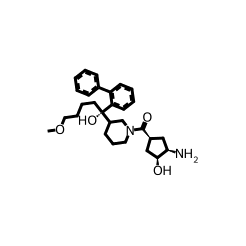 COCCCC[C@@](O)(c1ccccc1-c1ccccc1)C1CCCN(C(=O)[C@H]2C[C@@H](N)[C@@H](O)C2)C1